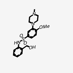 COc1ccc(S(=O)(=O)Nc2ccccc2CO)cc1N1CCN(C)CC1